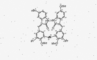 CCCCc1ccc2c(c1)C(=Cc1cc(C(C)C)c(OC)c(C(C)C)c1)C(=O)N2.COc1ccc2c(c1)NC(=O)C2=Cc1cc(C(C)C)c(OC)c(C(C)C)c1